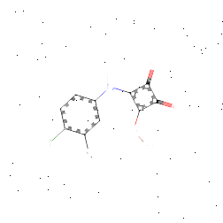 CCOc1c(Nc2ccc(Cl)c([N+](=O)[O-])c2)c(=O)c1=O